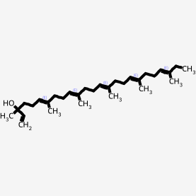 C=CC(C)(O)CC/C=C(\C)CC/C=C(\C)CC/C=C(\C)CC/C=C(\C)CC/C=C(\C)CC